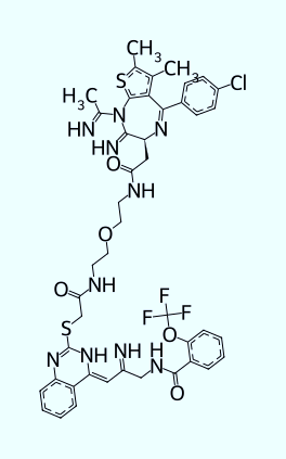 CC(=N)N1C(=N)[C@H](CC(=O)NCCOCCNC(=O)CSC2=Nc3ccccc3/C(=C/C(=N)CNC(=O)c3ccccc3OC(F)(F)F)N2)N=C(c2ccc(Cl)cc2)c2c1sc(C)c2C